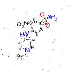 C[C](C)CN1CCC(Nc2ccc(S(N)(=O)=O)cc2[N+](=O)[O-])CC1